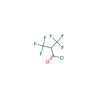 O=C(Cl)C(C(F)(F)F)C(F)(F)F